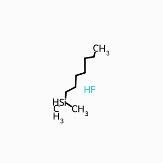 CCCCCCC[SiH](C)C.F